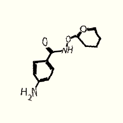 Nc1ccc(C(=O)NOC2CCCCO2)cc1